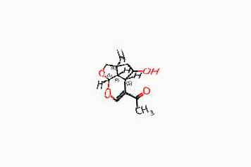 CC(=O)C1=CO[C@@H]2OC[C@@H]3CC(O)[C@H]1[C@@H]32